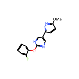 COc1ccc(-c2cnc(Oc3ccccc3F)nc2)nn1